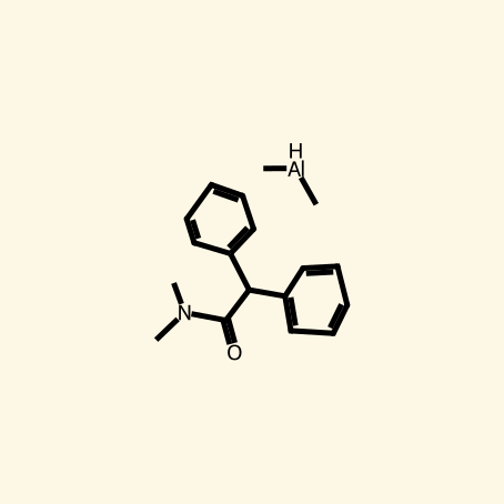 CN(C)C(=O)C(c1ccccc1)c1ccccc1.[CH3][AlH][CH3]